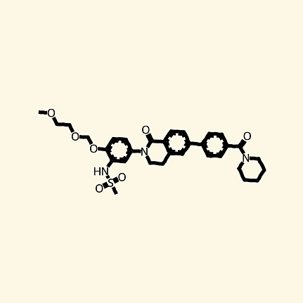 COCCOCOc1ccc(N2CCc3cc(-c4ccc(C(=O)N5CCCCC5)cc4)ccc3C2=O)cc1NS(C)(=O)=O